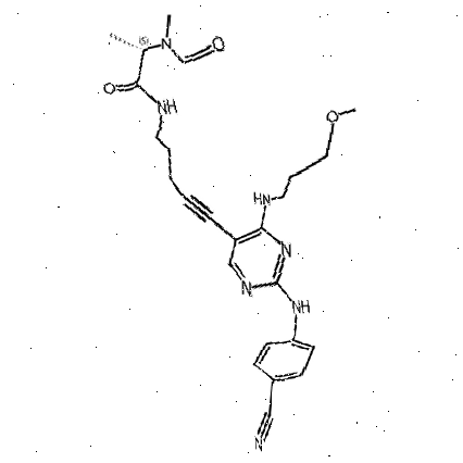 COCCCNc1nc(Nc2ccc(C#N)cc2)ncc1C#CCCCNC(=O)[C@H](C)N(C)C=O